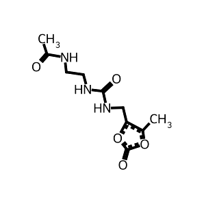 CC(=O)NCCNC(=O)NCc1oc(=O)oc1C